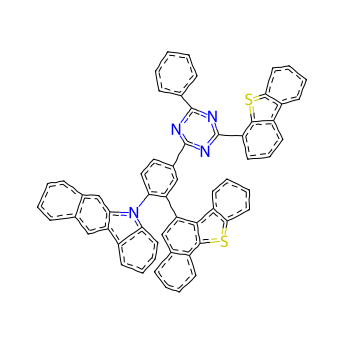 c1ccc(-c2nc(-c3ccc(-n4c5ccccc5c5cc6ccccc6cc54)c(-c4cc5ccccc5c5sc6ccccc6c45)c3)nc(-c3cccc4c3sc3ccccc34)n2)cc1